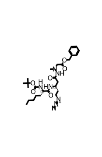 CCCCC[C@H](NC(=O)OC(C)(C)C)C(=O)N[C@@H](CCN=[N+]=[N-])CC(=O)NN(C)CC(=O)OCc1ccccc1